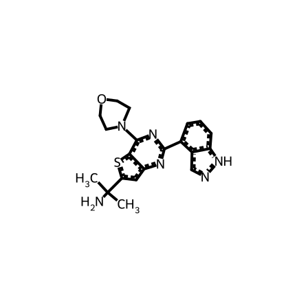 CC(C)(N)c1cc2nc(-c3cccc4[nH]ncc34)nc(N3CCOCC3)c2s1